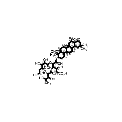 CC(O)/C(O)=C(\O)C(O)O/C(=C(\OC(O)/C(O)=C(/O)C(O)CCO)C(O)O[C@H]1CC[C@]2(C)[C@H]3C=CC4[C@@H]5CC(C)(C)CC[C@]5(C=O)[C@H](O)C[C@@]4(C)[C@]3(C)CC[C@H]2[C@]1(C)C=O)C(O)CC(=O)O